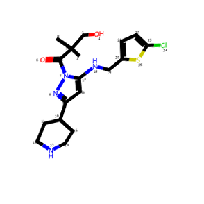 CC(C)(CO)C(=O)n1nc(C2CCNCC2)cc1NCc1ccc(Cl)s1